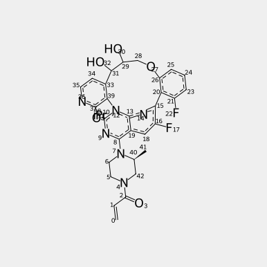 C=CC(=O)N1CCN(c2nc(=O)n3c4nc(c(F)cc24)-c2c(F)cccc2OCC(O)C(O)c2ccnc(C(C)C)c2-3)[C@@H](C)C1